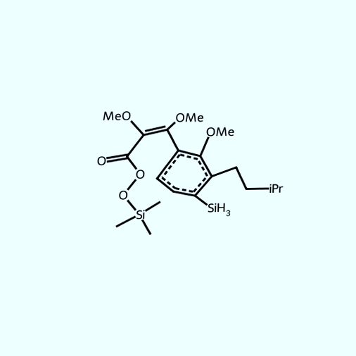 COC(C(=O)OO[Si](C)(C)C)=C(OC)c1ccc([SiH3])c(CCC(C)C)c1OC